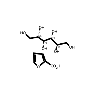 O=C(O)c1ccco1.OC[C@@H](O)[C@@H](O)[C@H](O)[C@@H](O)CO